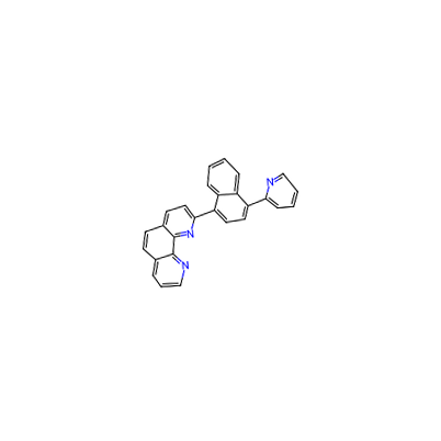 c1ccc(-c2ccc(-c3ccc4ccc5cccnc5c4n3)c3ccccc23)nc1